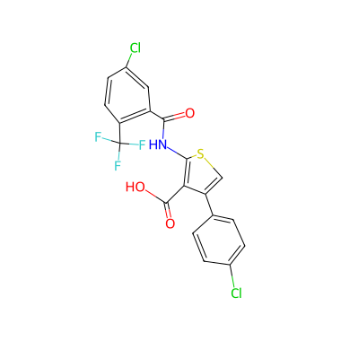 O=C(Nc1scc(-c2ccc(Cl)cc2)c1C(=O)O)c1cc(Cl)ccc1C(F)(F)F